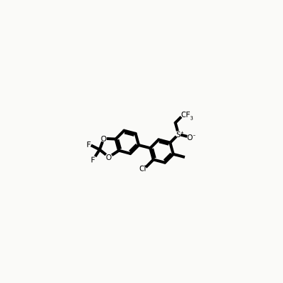 Cc1cc(Cl)c(-c2ccc3c(c2)OC(F)(F)O3)cc1[S+]([O-])CC(F)(F)F